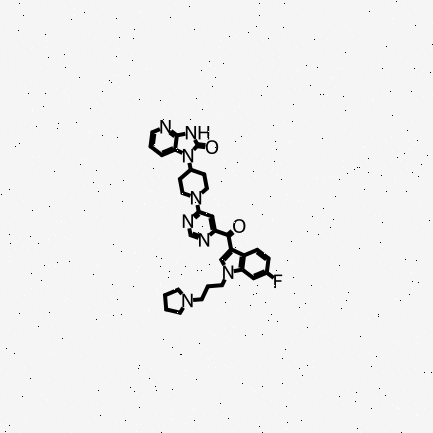 O=C(c1cc(N2CCC(n3c(=O)[nH]c4ncccc43)CC2)ncn1)c1cn(CCCN2CCCC2)c2cc(F)ccc12